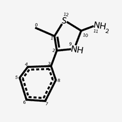 CC1=C(c2ccccc2)NC(N)S1